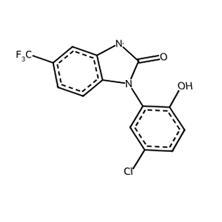 O=C1[N]c2cc(C(F)(F)F)ccc2N1c1cc(Cl)ccc1O